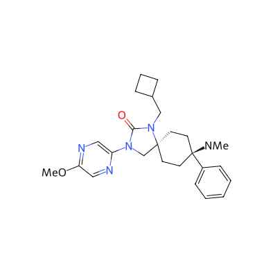 CN[C@]1(c2ccccc2)CC[C@]2(CC1)CN(c1cnc(OC)cn1)C(=O)N2CC1CCC1